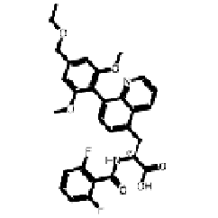 CCOCc1cc(OC)c(-c2ccc(C[C@H](NC(=O)c3c(F)cccc3F)C(=O)O)c3cccnc23)c(OC)c1